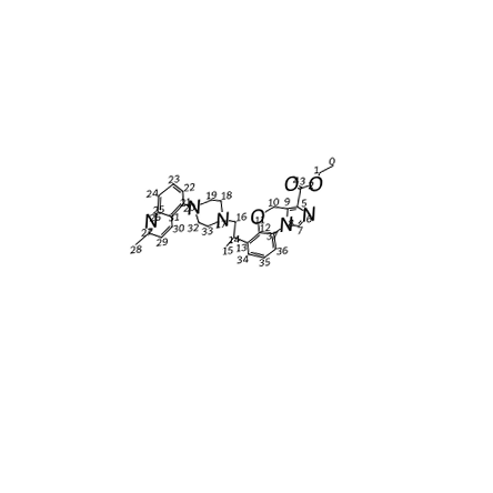 CCOC(=O)c1ncn2c1COc1c(C(C)CN3CCN(c4cccc5nc(C)ccc45)CC3)cccc1-2